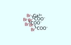 O=C([O-])C(Br)=CBr.O=C([O-])C(Br)=CBr.O=C([O-])C(Br)=CBr.[Ga+3]